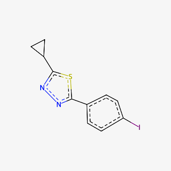 Ic1ccc(-c2nnc(C3CC3)s2)cc1